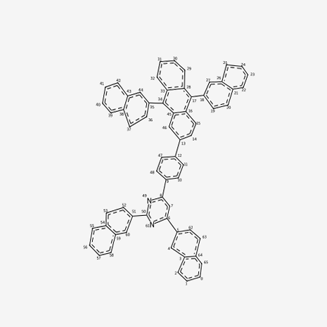 c1ccc2cc(-c3cc(-c4ccc(-c5ccc6c(-c7ccc8ccccc8c7)c7ccccc7c(-c7ccc8ccccc8c7)c6c5)cc4)nc(-c4ccc5ccccc5c4)n3)ccc2c1